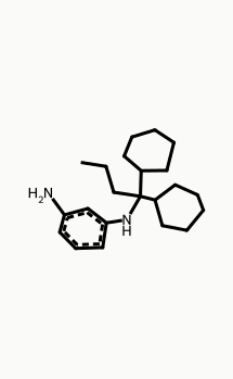 CCCC(Nc1cccc(N)c1)(C1CCCCC1)C1CCCCC1